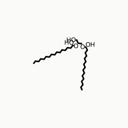 CCCCCCCCCCCCCCCC(O)OCC(CO)OC(O)CCCCCCCCCCCCCCC